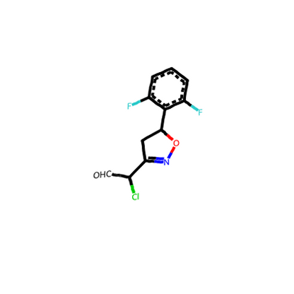 O=CC(Cl)C1=NOC(c2c(F)cccc2F)C1